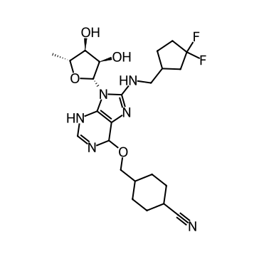 C[C@H]1O[C@@H](n2c(NCC3CCC(F)(F)C3)nc3c2NC=NC3OCC2CCC(C#N)CC2)[C@H](O)[C@@H]1O